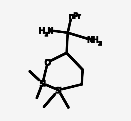 CCCC(N)(N)C1CC[Si](C)(C)[Si](C)(C)O1